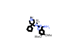 COc1cc2nc(N(C)CC3(c4ccccc4)CCN(C(C)=O)CC3)nc(N)c2cc1OC